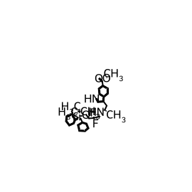 COC(=O)c1ccc2c(C[C@@H](C)NCC(F)(F)CO[Si](c3ccccc3)(c3ccccc3)C(C)(C)C)c[nH]c2c1